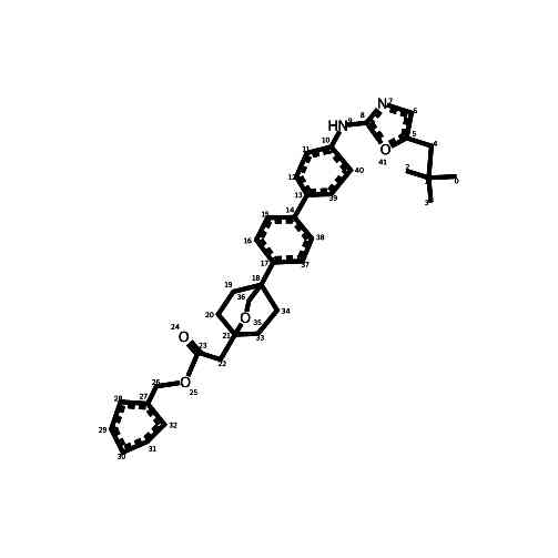 CC(C)(C)Cc1cnc(Nc2ccc(-c3ccc(C45CCC(CC(=O)OCc6ccccc6)(CC4)OC5)cc3)cc2)o1